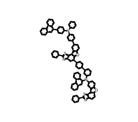 c1ccc(-c2nc3ccc4oc5ccc(N(c6cccc(-c7ccc(-c8cc9nc(-c%10ccccc%10)sc9c9c8oc8ccc(-c%10ccc(N(c%11ccccc%11)c%11ccc(-c%12cc%13ccccc%13c%13ccccc%12%13)cc%11)cc%10)cc89)cc7)c6)c6cc7ccccc7c7ccccc67)cc5c4c3s2)cc1